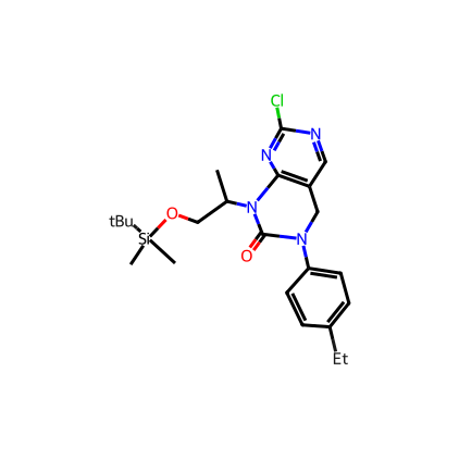 CCc1ccc(N2Cc3cnc(Cl)nc3N(C(C)CO[Si](C)(C)C(C)(C)C)C2=O)cc1